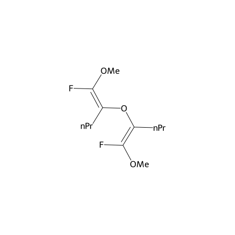 CCCC(OC(CCC)=C(F)OC)=C(F)OC